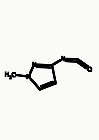 Cn1ccc(N=C=O)n1